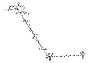 CN[C@@H](CCCCNC(=O)COCCOCCNC(=O)COCCOCCNC(=O)CCCS(=O)(=O)NC(=O)CCCCCCCCCCCCCCCc1nnn[nH]1)C(=O)CN[C@@H](Cc1ccc(O)cc1)C(N)=O